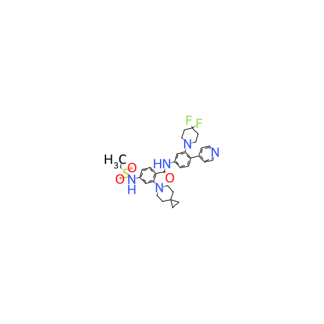 CCS(=O)(=O)Nc1ccc(C(=O)Nc2ccc(-c3ccncc3)c(N3CCC(F)(F)CC3)c2)c(N2CCC3(CC2)CC3)c1